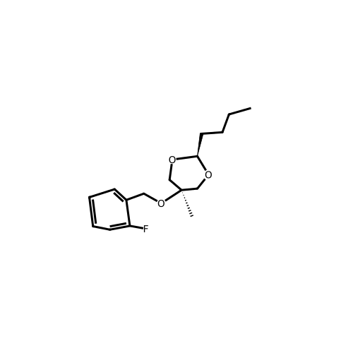 CCCC[C@H]1OC[C@@](C)(OCc2ccccc2F)CO1